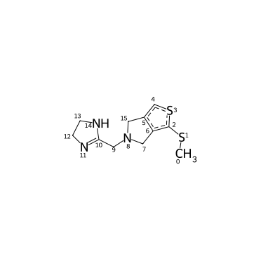 CSc1scc2c1CN(CC1=NCCN1)C2